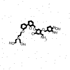 N=C1C=C(COc2cc(OCc3cccc(-c4cccc(OCCCN(CCO)CCO)c4)c3Cl)c(Cl)cc2CN)C=C/C1=N/O